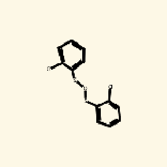 Clc1ccccc1SOSc1ccccc1Cl